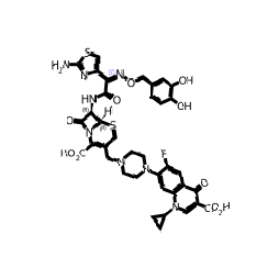 Nc1nc(/C(=N/OCc2ccc(O)c(O)c2)C(=O)N[C@@H]2C(=O)N3C(C(=O)O)=C(CN4CCN(c5cc6c(cc5F)c(=O)c(C(=O)O)cn6C5CC5)CC4)CS[C@H]23)cs1